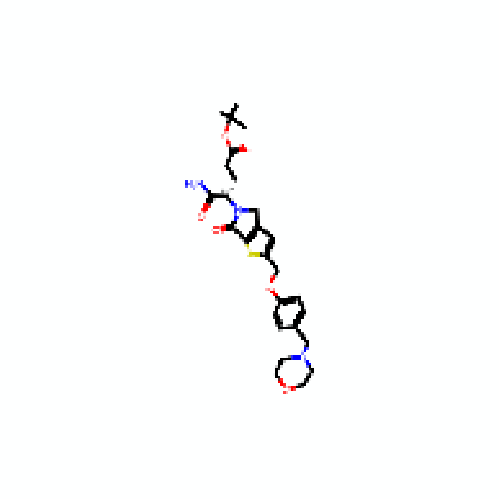 CC(C)(C)OC(=O)CC[C@@H](C(N)=O)N1Cc2cc(COc3ccc(CN4CCOCC4)cc3)sc2C1=O